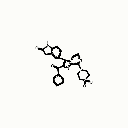 O=C1Cc2cc(-c3c(C(=O)c4ccccc4)nc4c(N5CCS(=O)(=O)CC5)nccn34)ccc2N1